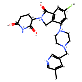 Cc1cncc(CN2CCN(c3cc(F)cc4c3CN(C3CCC(=O)NC3=O)C4=O)CC2)c1